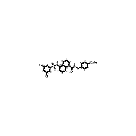 COc1ccc(CNC(=O)c2cccc3c(NS(=O)(=O)c4cc(Cl)cc(Cl)c4)cccc23)cc1